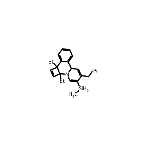 CCC12C=CC1(CC)N1C=C([SiH2]C)C(CC(C)C)=CC1c1ccccc12